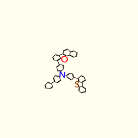 c1ccc(-c2ccc(N(c3ccc(-c4cccc5c4oc4c6ccccc6ccc54)cc3)c3ccc(-c4cccc5c4sc4ccccc45)cc3)cc2)cc1